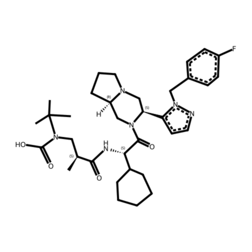 C[C@@H](CN(C(=O)O)C(C)(C)C)C(=O)N[C@H](C(=O)N1C[C@H]2CCCN2C[C@H]1c1ccnn1Cc1ccc(F)cc1)C1CCCCC1